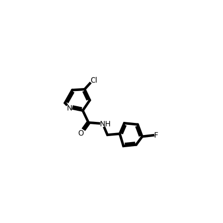 O=C(NCc1ccc(F)cc1)c1cc(Cl)ccn1